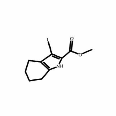 COC(=O)c1[nH]c2c(c1I)CCCC2